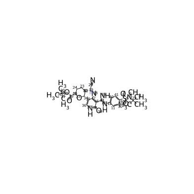 CN(C(C)(C)C)S(=O)(=O)c1ccc(NC(=N)c2c(/N=C(/C#N)[C@H]3CC[C@@H](C(=O)OC(C)(C)C)OC3)cc[nH]c2=O)cc1